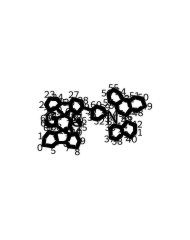 c1ccc2c(c1)-c1ccccc1C21c2ccccc2C2(c3ccccc3-c3ccc(-c4ccc(N(c5cccc6ccccc56)c5cc6ccccc6c6ccccc56)cc4)cc32)c2ccccc21